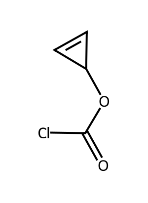 O=C(Cl)OC1C=C1